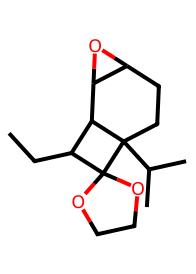 CCC1C2C3OC3CCC2(C(C)C)C12OCCO2